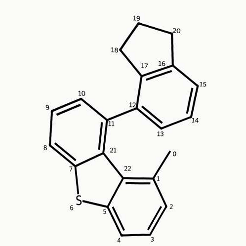 Cc1cccc2sc3cccc(-c4cccc5c4CCC5)c3c12